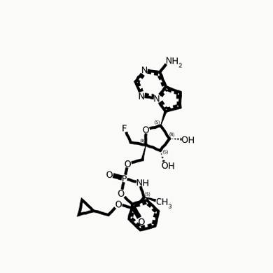 C[C@H](NP(=O)(OC[C@@]1(CF)O[C@@H](c2ccc3c(N)ncnn23)[C@H](O)[C@@H]1O)Oc1ccccc1)C(=O)OCC1CC1